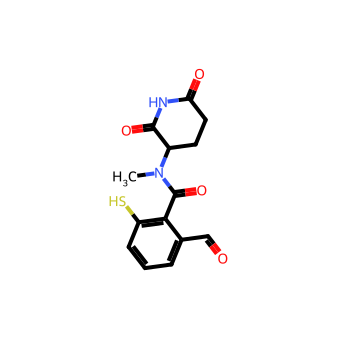 CN(C(=O)c1c(S)cccc1C=O)C1CCC(=O)NC1=O